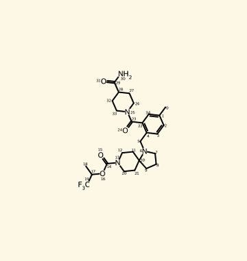 Cc1ccc(CN2CCCC23CCN(C(=O)OC(C)C(F)(F)F)CC3)c(C(=O)N2CCC(C(N)=O)CC2)c1